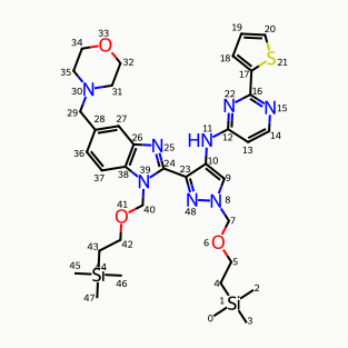 C[Si](C)(C)CCOCn1cc(Nc2ccnc(-c3cccs3)n2)c(-c2nc3cc(CN4CCOCC4)ccc3n2COCC[Si](C)(C)C)n1